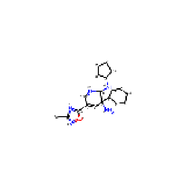 Cc1noc(C2=CC(N)(C3CCCCC3)C(NC3CCCC3)N=C2)n1